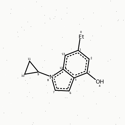 CCc1cc(O)c2ccn(C3CC3)c2c1